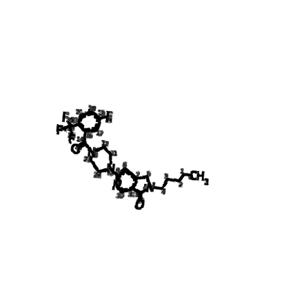 CCCCCN1Cc2cc(N3CCN(C(=O)c4cc(F)ccc4C(F)(F)F)CC3)ncc2C1=O